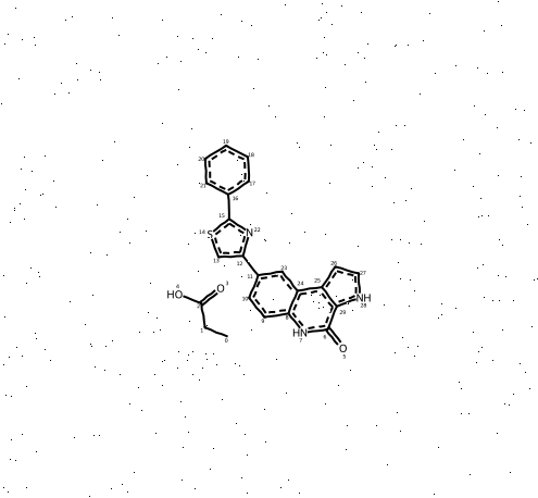 CCC(=O)O.O=c1[nH]c2ccc(-c3csc(-c4ccccc4)n3)cc2c2cc[nH]c12